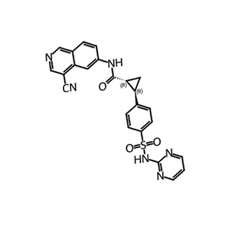 N#Cc1cncc2ccc(NC(=O)[C@@H]3C[C@H]3c3ccc(S(=O)(=O)Nc4ncccn4)cc3)cc12